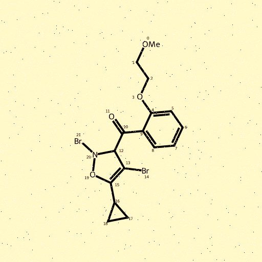 COCCOc1ccccc1C(=O)C1C(Br)=C(C2CC2)ON1Br